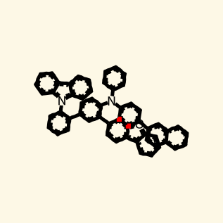 c1ccc(N(c2ccc(-c3ccc4ccccc4c3)cc2)c2ccc(-c3ccccc3-n3c4ccccc4c4ccccc43)cc2-c2ccc3c(c2)oc2ccccc23)cc1